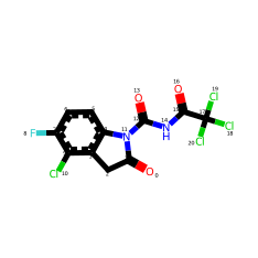 O=C1Cc2c(ccc(F)c2Cl)N1C(=O)NC(=O)C(Cl)(Cl)Cl